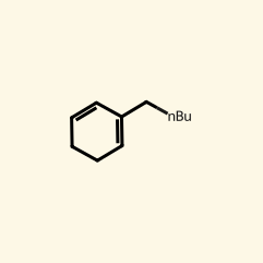 CCCCCC1=CCCC=C1